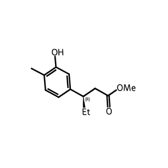 CC[C@H](CC(=O)OC)c1ccc(C)c(O)c1